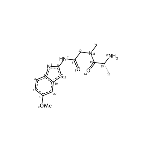 COc1ccc2nc(NC(=O)CN(C)C(=O)[C@@H](C)N)sc2c1